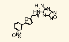 Nc1nc2nonc2nc1NN=Cc1ccc(-c2cccc([N+](=O)[O-])c2)o1